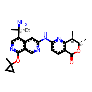 CC[C@](C)(N)c1cnc(OC2(C)CC2)c2cnc(Nc3ccc4c(n3)[C@@H](C)[C@H](C)OC4=O)cc12